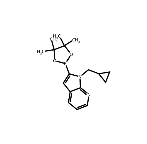 CC1(C)OB(c2cc3cccnc3n2CC2CC2)OC1(C)C